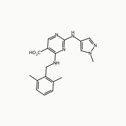 Cc1cccc(C)c1CNc1nc(Nc2cnn(C)c2)ncc1C(=O)O